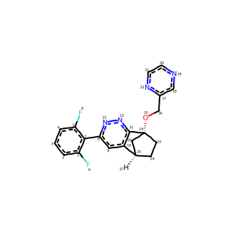 Fc1cccc(F)c1-c1cc2c(nn1)[C@@]1(OCc3cnccn3)CC[C@@H]2C1